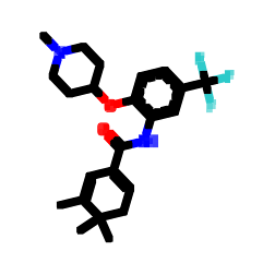 CC1=CC(C(=O)Nc2cc(C(F)(F)F)ccc2OC2CCN(C)CC2)=CCC1(C)C